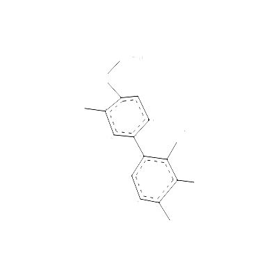 CCCCCOc1ccc(-c2ccc(C)c(F)c2F)cc1F